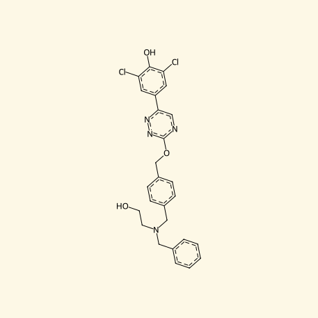 OCCN(Cc1ccccc1)Cc1ccc(COc2ncc(-c3cc(Cl)c(O)c(Cl)c3)nn2)cc1